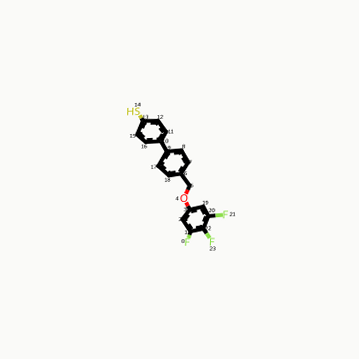 Fc1cc(OCc2ccc(-c3ccc(S)cc3)cc2)cc(F)c1F